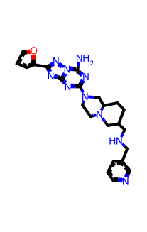 Nc1nc(N2CCN3CC(CNCc4cccnc4)CCC3C2)nc2nc(-c3ccco3)nn12